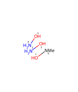 CNO.NO.NO